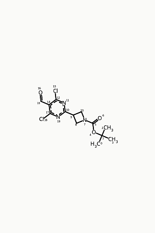 CC(C)(C)OC(=O)N1CC(c2nc(Cl)c(C=O)c(Cl)n2)C1